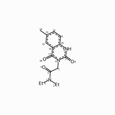 CCN(CC)C(=O)Cn1c(=O)[nH]c2ccc(C)cc2c1=O